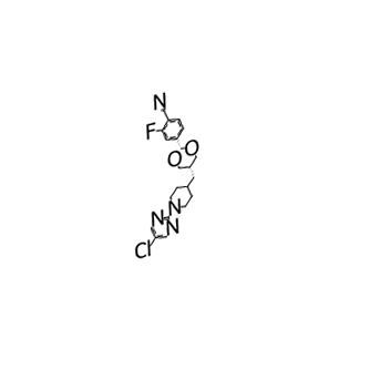 N#Cc1ccc([C@H]2OC[C@@H](CC3CCN(c4ncc(Cl)cn4)CC3)CO2)cc1F